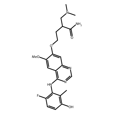 COc1cc2c(Nc3c(F)ccc(O)c3C)ncnc2cc1OCCC(CN(C)C)C(N)=O